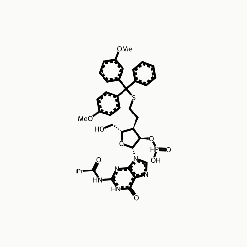 COc1ccc(C(SCC[C@H]2[C@@H](O[PH](=O)O)[C@H](n3cnc4c(=O)[nH]c(NC(=O)C(C)C)nc43)O[C@@H]2CO)(c2ccccc2)c2cccc(OC)c2)cc1